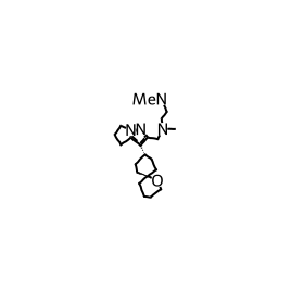 CNCCN(C)Cc1nn2c(c1[C@H]1CC[C@@]3(CCCCO3)CC1)CCC2